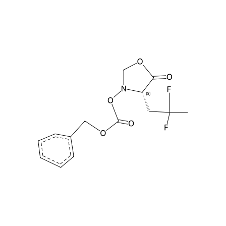 CC(F)(F)C[C@H]1C(=O)OCN1OC(=O)OCc1ccccc1